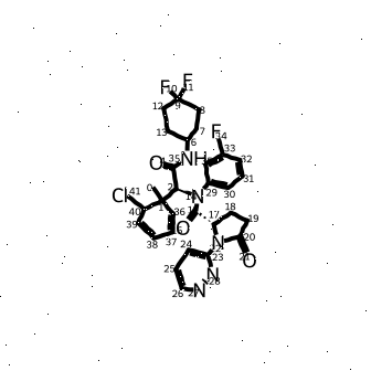 CC1([C@@H](C(=O)NC2CCC(F)(F)CC2)N(C(=O)[C@@H]2CCC(=O)N2c2cccnn2)c2cccc(F)c2)C=CC=CC1Cl